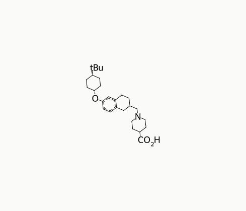 CC(C)(C)[C@H]1CC[C@H](Oc2ccc3c(c2)CCC(CN2CCC(C(=O)O)CC2)C3)CC1